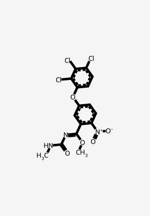 CNC(=O)N=C(OC)c1cc(Oc2ccc(Cl)c(Cl)c2Cl)ccc1[N+](=O)[O-]